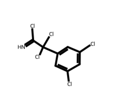 N=C(Cl)C(Cl)(Cl)c1cc(Cl)cc(Cl)c1